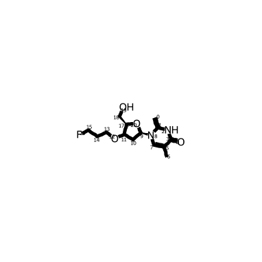 C=C1NC(=O)C(C)=CN1[C@H]1CC(OCCCF)[C@@H](CO)O1